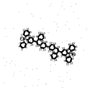 O=P(c1ccccc1)(c1ccccc1)c1ccc(/C(=C/c2ccc(-c3ccc(/C=C(\c4ccccc4)c4ccc(P(=O)(c5ccccc5)c5ccccc5)cc4)cc3)cc2)c2ccccc2)cc1